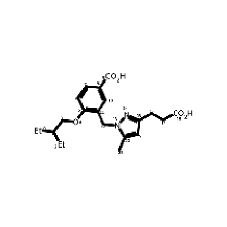 CCC(CC)COc1ccc(C(=O)O)cc1Cn1nc(CCC(=O)O)cc1C